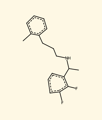 Cc1ccccc1CCCNC(C)c1cccc(F)c1F